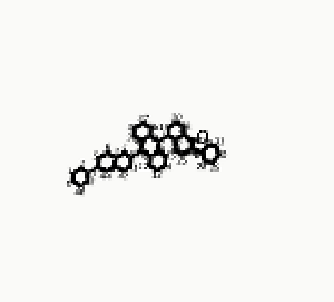 c1ccc(-c2ccc3cc(-c4c5ccccc5c(-c5cccc6c5ccc5c7ccccc7oc65)c5ccccc45)ccc3c2)cc1